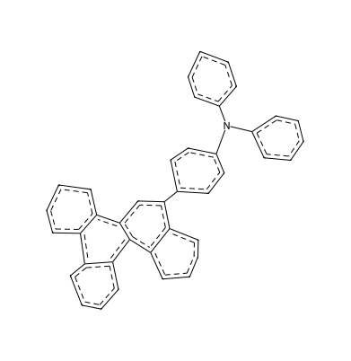 c1ccc(N(c2ccccc2)c2ccc(-c3cc4c5ccccc5c5ccccc5c4c4ccccc34)cc2)cc1